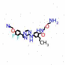 CCCc1cc(Nc2nccn3c(-c4ccc(OCC#N)c(F)c4F)cnc23)ccc1C(=O)NCCOCCN